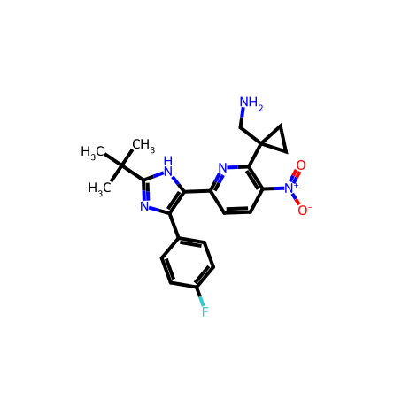 CC(C)(C)c1nc(-c2ccc(F)cc2)c(-c2ccc([N+](=O)[O-])c(C3(CN)CC3)n2)[nH]1